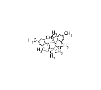 Cc1cc(C)c(N2CN(c3c(C)cc(C)cc3C)C(=O)C(C)(C)C2=O)c(C)c1